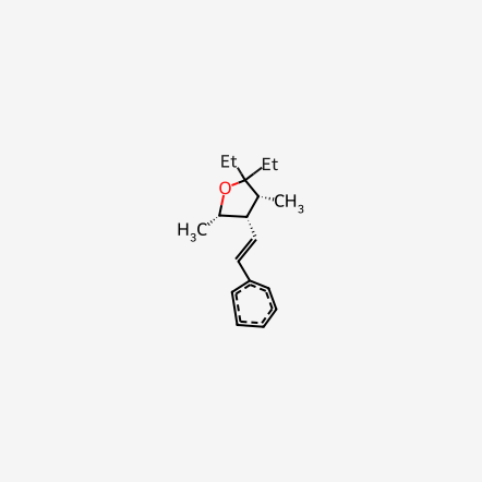 CCC1(CC)O[C@@H](C)[C@@H](/C=C/c2ccccc2)[C@H]1C